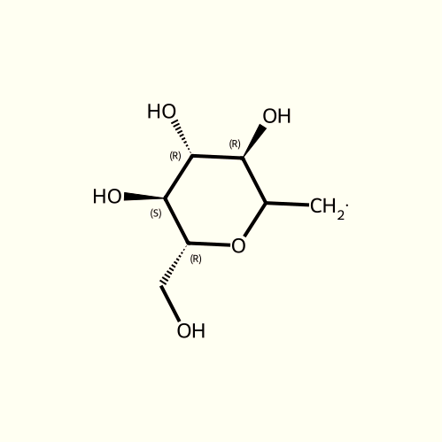 [CH2]C1O[C@H](CO)[C@@H](O)[C@H](O)[C@H]1O